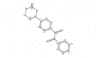 O=C(C(=O)c1ccc(C2CNCCO2)cc1)c1ccccc1